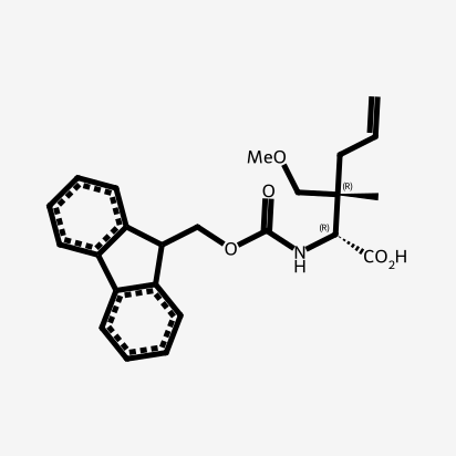 C=CC[C@@](C)(COC)[C@@H](NC(=O)OCC1c2ccccc2-c2ccccc21)C(=O)O